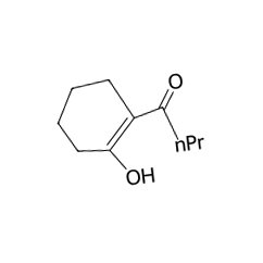 CCCC(=O)C1=C(O)CCCC1